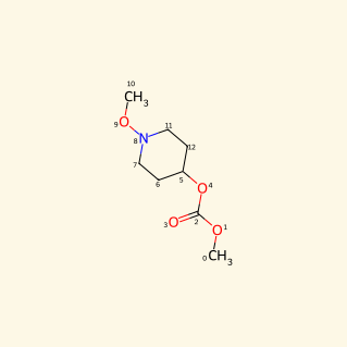 COC(=O)OC1CCN(OC)CC1